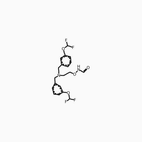 O=CNOCCN(Cc1cccc(OC(F)F)c1)Cc1cccc(OC(F)F)c1